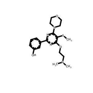 CSc1c(OCCN(C)C)nc(-c2cccc(O)c2)nc1N1CCOCC1